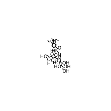 CCn1c(C)[n+](CC)c2ccc(C(=O)NCCCN(C[C@H](O)[C@@H](O)[C@H](O)[C@H](O)CO)C[C@H](O)[C@@H](O)[C@H](O)[C@H](O)CO)cc21